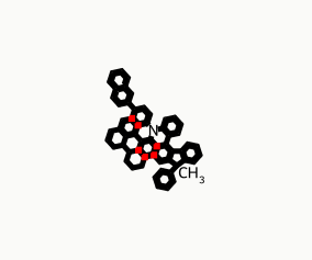 CC1(c2ccccc2)c2ccccc2-c2c(-c3ccccc3N(c3ccc(-c4ccc5ccccc5c4)cc3)c3ccccc3-c3cccc4c3C(C3CCCCC3)CC=C4)cccc21